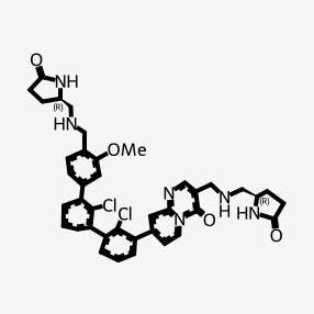 COc1cc(-c2cccc(-c3cccc(-c4ccn5c(=O)c(CNC[C@H]6CCC(=O)N6)cnc5c4)c3Cl)c2Cl)ccc1CNC[C@H]1CCC(=O)N1